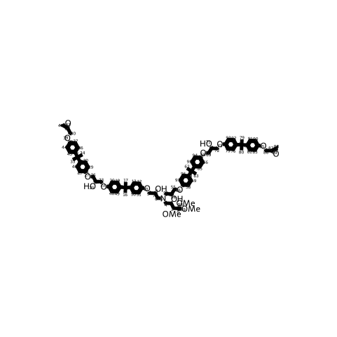 COC(CCCN(CC(O)COc1ccc(C(C)(C)c2ccc(OCC(O)COc3ccc(C(C)(C)c4ccc(OCC5CO5)cc4)cc3)cc2)cc1)CC(O)COc1ccc(C(C)(C)c2ccc(OCC(O)COc3ccc(C(C)(C)c4ccc(OCC5CO5)cc4)cc3)cc2)cc1)(OC)OC